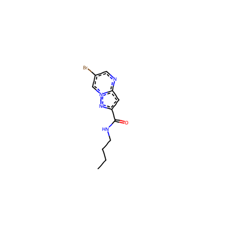 CCCCNC(=O)c1cc2ncc(Br)cn2n1